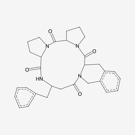 O=C1NC(Cc2ccccc2)CC(=O)N2Cc3ccccc3CC2C(=O)N2CCCC2C(=O)N2CCCC12